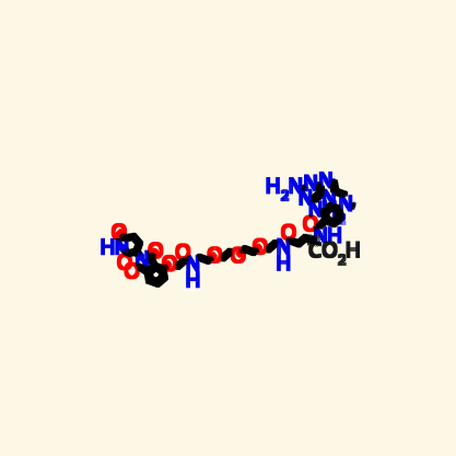 CN(Cc1cnc2nc(N)nc(N)c2n1)c1ccc(C(=O)N[C@H](CCC(=O)NCCOCCOCCOCCNC(=O)COc2cccc3c2C(=O)N(C2CCC(=O)NC2=O)C3=O)C(=O)O)cc1